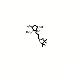 CC1(C)OB(CCC[C@]2(O)[C@@H](O)CN(C(=O)O)[C@@H]2C(=O)O)OC1(C)C